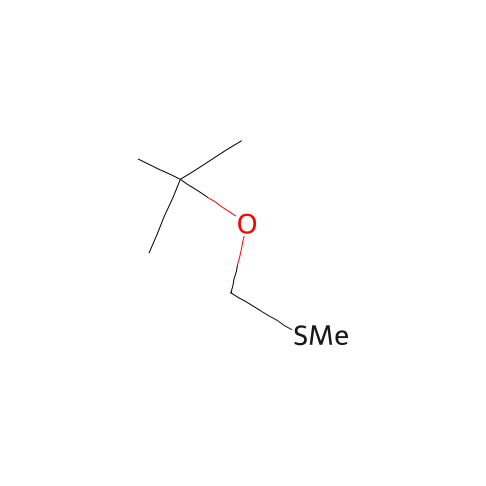 CSCOC(C)(C)C